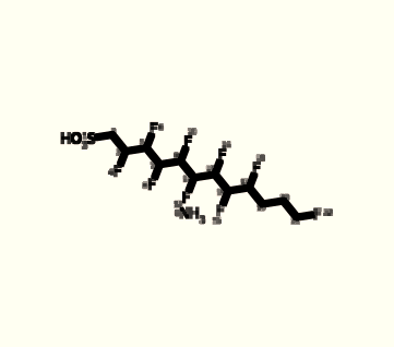 N.O=S(=O)(O)CC(F)C(F)C(F)C(F)C(F)C(F)C(F)C(F)CCCF